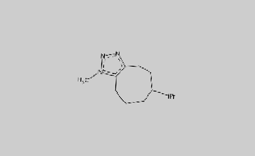 CC(C)C1CCCc2c(nnn2C)CC1